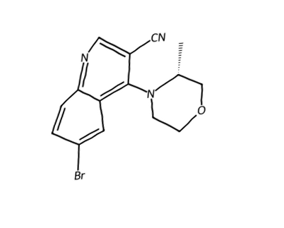 C[C@@H]1COCCN1c1c(C#N)cnc2ccc(Br)cc12